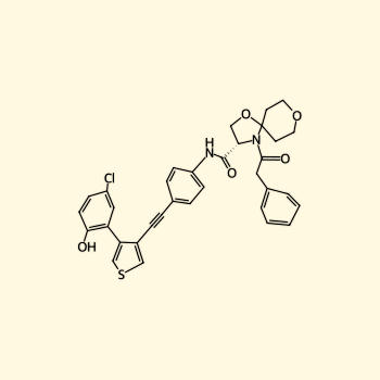 O=C(Nc1ccc(C#Cc2cscc2-c2cc(Cl)ccc2O)cc1)[C@@H]1COC2(CCOCC2)N1C(=O)Cc1ccccc1